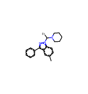 CCC(N1CCCCC1)n1nc(-c2ccccc2)c2cc(C)ccc21